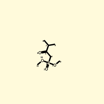 COP(=O)(CC(=O)C(C)C)OC